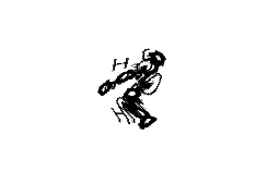 Cc1cccc(CC(CC(=O)N2CCC(N3Cc4ccccc4NC3=O)CC2)C(=O)N2CCC(N3CCCCC3)CC2)c1